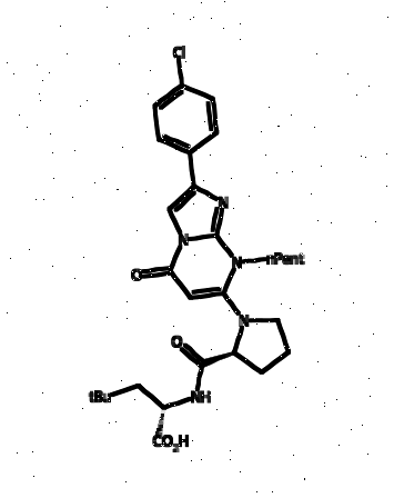 CCCCCn1c(N2CCC[C@H]2C(=O)N[C@@H](CC(C)(C)C)C(=O)O)cc(=O)n2cc(-c3ccc(Cl)cc3)nc12